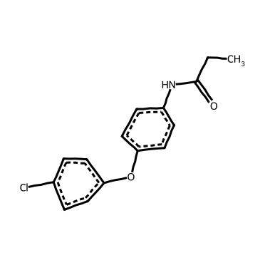 CCC(=O)Nc1ccc(Oc2ccc(Cl)cc2)cc1